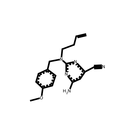 C=CCCN(Cc1ccc(OC)cc1)c1nc(N)cc(C#N)n1